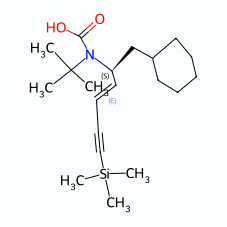 CC(C)(C)N(C(=O)O)[C@H](/C=C/C#C[Si](C)(C)C)CC1CCCCC1